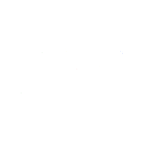 N#CSCOC(=S)c1ccc(Cl)cc1Cl